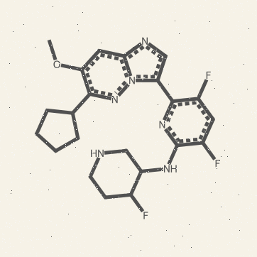 COc1cc2ncc(-c3nc(NC4CNCCC4F)c(F)cc3F)n2nc1C1CCCC1